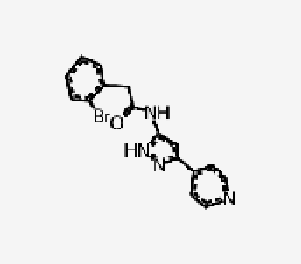 O=C(Cc1ccccc1Br)Nc1cc(-c2ccncc2)n[nH]1